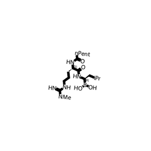 CCCCCC(=O)N[C@@H](CCCNC(=N)NC)C(=O)N[C@@H](CC(C)C)B(O)O